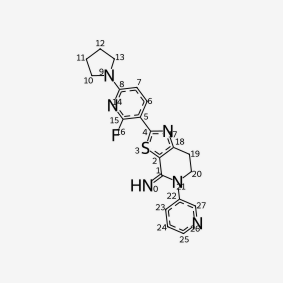 N=C1c2sc(-c3ccc(N4CCCC4)nc3F)nc2CCN1c1cccnc1